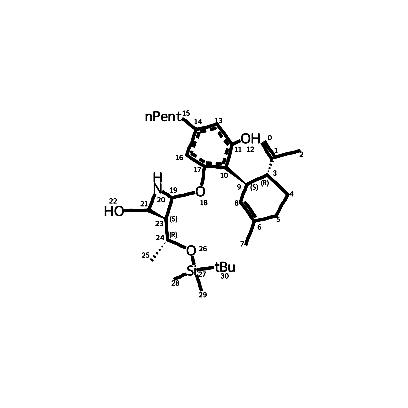 C=C(C)[C@@H]1CCC(C)=C[C@H]1c1c(O)cc(CCCCC)cc1OC1NC(O)[C@@H]1[C@@H](C)O[Si](C)(C)C(C)(C)C